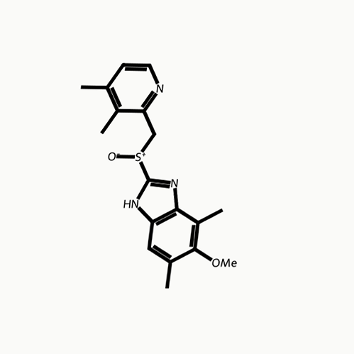 COc1c(C)cc2[nH]c([S+]([O-])Cc3nccc(C)c3C)nc2c1C